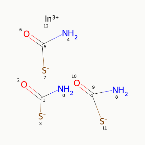 NC(=O)[S-].NC(=O)[S-].NC(=O)[S-].[In+3]